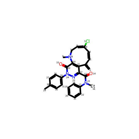 C=C1/C=C\C(Cl)=C/CN(C)c2c1c(C(=O)N(CC)c1ccccc1)nn(-c1ccc(C)cc1)c2=O